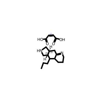 CCCC1C2CCCN=C2C[C@@H]2CNC[C@@H]12.O=C(O)/C=C\C(=O)O